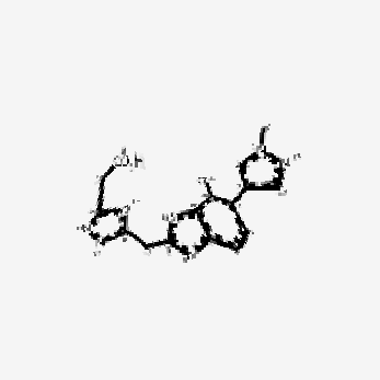 Cn1cc(-c2ccc3nc(Cc4nnc(CC(=O)O)o4)sc3c2Cl)cn1